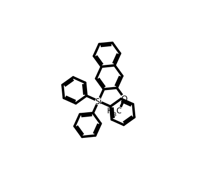 COc1cc2ccccc2cc1[Si](c1ccccc1)(c1ccccc1)c1ccccc1